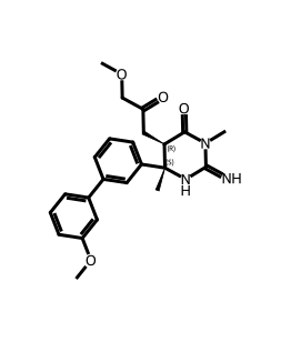 COCC(=O)C[C@H]1C(=O)N(C)C(=N)N[C@]1(C)c1cccc(-c2cccc(OC)c2)c1